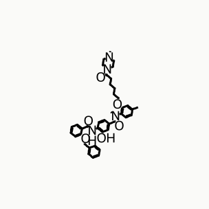 Cc1ccc(N(C)C(=O)c2ccc(NC(=O)c3ccccc3OCc3ccccc3)c(O)c2)c(OCCCCCC(=O)N2CCN(C)CC2)c1